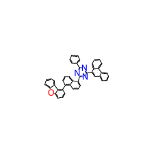 c1ccc(-c2nc(-c3cccc4c(-c5cccc6oc7ccccc7c56)cccc34)nc(-c3cc4ccccc4c4ccccc34)n2)cc1